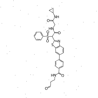 O=CCCNC(=O)c1ccc(-c2ccc3nc(C(C(=O)NCC(=O)NC4CC4)S(=O)(=O)c4ccccc4)sc3c2)cc1